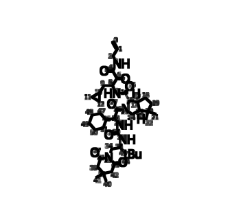 C=CCNC(=O)C(=O)C(CC1CC1)NC(=O)[C@@H]1[C@H]2CCC(C)(C)[C@H]2CN1C(=O)[C@@H](NC(=O)N[C@H](CN1C(=O)CC(C)(C)CC1=O)C(C)(C)C)C1CCCCC1